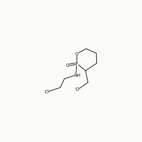 O=P1(NCCCl)OCCCC1CCl